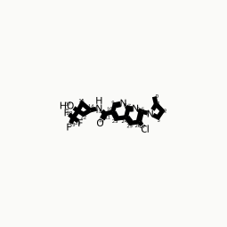 CC1CCN1c1nc2ncc(C(=O)NC3CC(O)(C(F)(F)F)C3)cc2cc1Cl